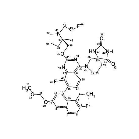 CCc1c(F)ccc2cc(OCOC)cc(-c3ccc4c(N5CCC[C@]6(C5)NC(=O)NC6=O)nc(OC[C@@]56CCCN5C[C@H](F)C6)nc4c3F)c12